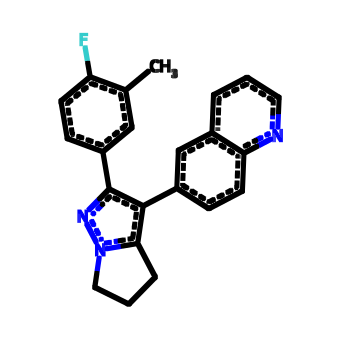 Cc1cc(-c2nn3c(c2-c2ccc4ncccc4c2)CCC3)ccc1F